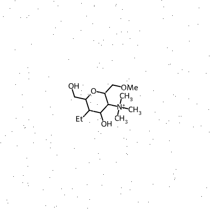 CCC1C(CO)OC(COC)C([N+](C)(C)C)C1O